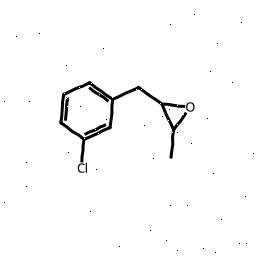 CC1OC1Cc1cccc(Cl)c1